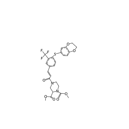 COC(=O)C1CN(C(=O)/C=C/c2ccc(Sc3ccc4c(c3)OCCO4)c(C(F)(F)F)c2)CCN1C(=O)OC